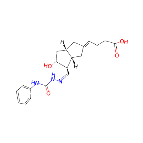 O=C(O)CCC=C1C[C@H]2C[C@@H](O)[C@H](/C=N\NC(=O)Nc3ccccc3)[C@H]2C1